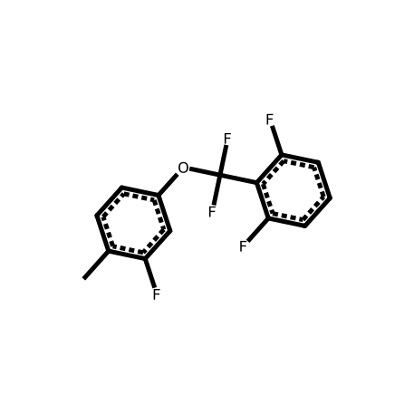 Cc1ccc(OC(F)(F)c2c(F)cccc2F)cc1F